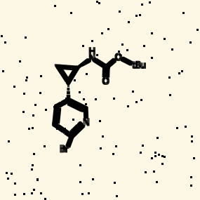 CC(C)(C)OC(=O)N[C@@H]1C[C@H]1c1ccc(Br)nc1